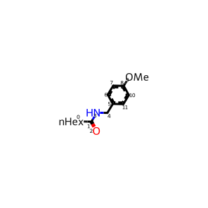 CCCCCCC(=O)NCc1ccc(OC)cc1